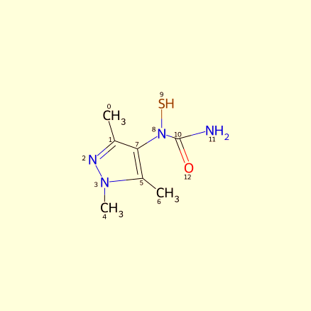 Cc1nn(C)c(C)c1N(S)C(N)=O